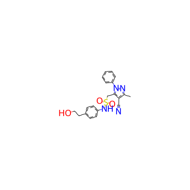 Cc1nn(-c2ccccc2)c(CS(=O)(=O)Nc2ccc(CCO)cc2)c1C#N